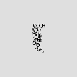 C[C@]12CC[C@H]3[C@@H](CC=C4C=C(C(=O)O)CC[C@@]43C)[C@@H]1CC[C@@H]2C(=O)OCC(F)(F)F